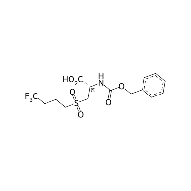 O=C(N[C@H](CS(=O)(=O)CCCC(F)(F)F)C(=O)O)OCc1ccccc1